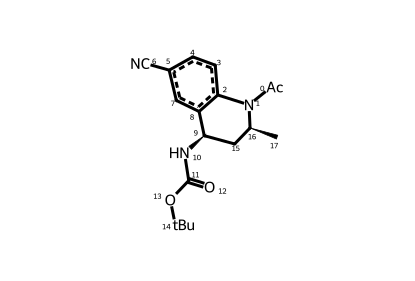 CC(=O)N1c2ccc(C#N)cc2[C@H](NC(=O)OC(C)(C)C)C[C@@H]1C